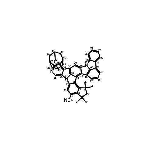 CC1(C)CC(C)(C)c2c1c(C#N)cc1c2c2c3c4cccc5c6ccccc6n(c3cc3c6c7c(ncc6n1c32)C1CC2CC(C1)CC7C2)c54